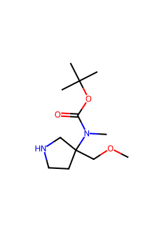 COCC1(N(C)C(=O)OC(C)(C)C)CCNC1